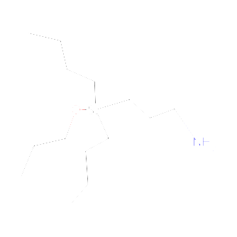 CCCC[Si](CCCC)(CCCN)OCCC